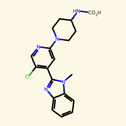 Cn1c(-c2cc(N3CCC(NC(=O)O)CC3)ncc2Cl)nc2ccccc21